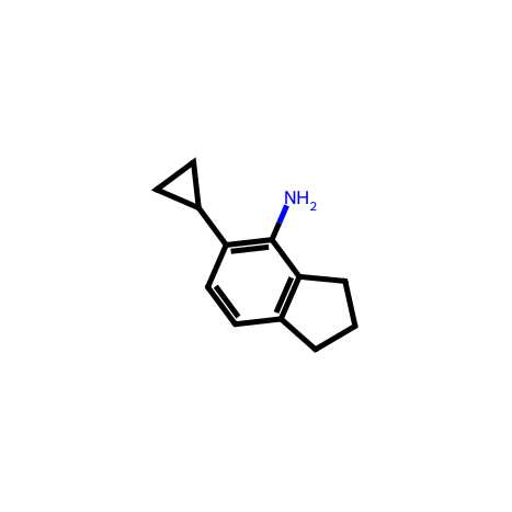 Nc1c(C2CC2)ccc2c1CCC2